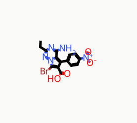 CCc1nc(N)c2c(-c3ccc([N+](=O)[O-])cc3)c(C(=O)O)c(Br)n2n1